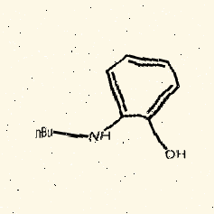 CCCCNc1ccccc1O